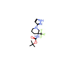 CC(C)(C)OC(=O)N[C@@]1(C(F)(F)F)CCCN(c2cc[nH]n2)C1